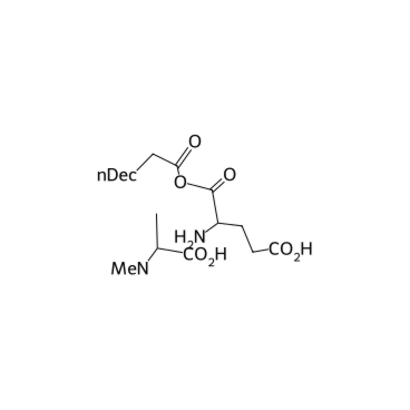 CCCCCCCCCCCC(=O)OC(=O)C(N)CCC(=O)O.CNC(C)C(=O)O